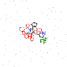 COc1ncc(C(F)(F)F)cc1CO[C@H]1[C@H](C(C)(C)OC)[C@@H](C(=O)O)N(C(=O)C2CCCCC2)[C@H]1c1ccccc1C(C)C